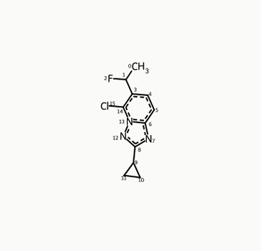 CC(F)c1ccc2nc(C3CC3)nn2c1Cl